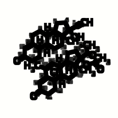 C#C[C@]1(O)CC[C@H]2[C@@H]3CCC4=CC(=O)CC[C@@H]4[C@H]3CC[C@@]21C.CC(=O)O[C@]1(C(C)=O)CC[C@H]2[C@@H]3C=C(C)C4=CC(=O)CC[C@]4(C)[C@H]3CC[C@@]21C